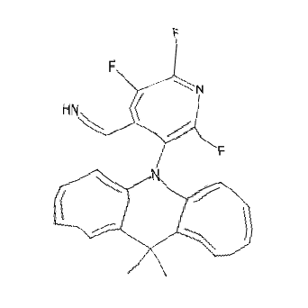 CC1(C)c2ccccc2N(c2c(F)nc(F)c(F)c2C=N)c2ccccc21